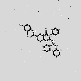 O=C(Nc1ccc(Cl)cc1Cl)N1CCc2nc(NC(Cc3ccccn3)c3ccccc3)n(-c3ccccc3)c(=O)c2C1